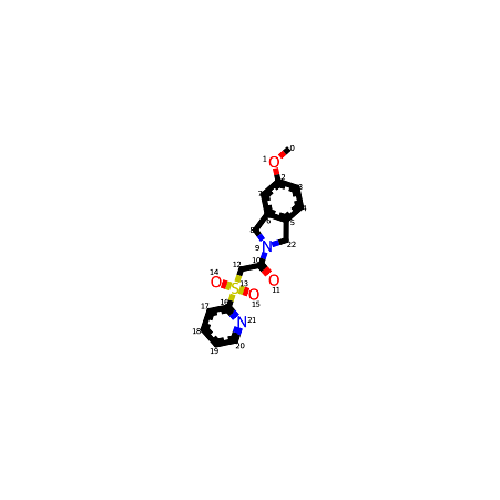 COc1ccc2c(c1)CN(C(=O)CS(=O)(=O)c1ccccn1)C2